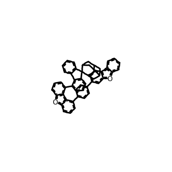 c1ccc2c(c1)-c1c(-c3cccc4oc5cccc(-c6ccc(-c7ccc8c(c7)oc7ccccc78)cc6)c5c34)cccc1C21C2CC3CC(C2)CC1C3